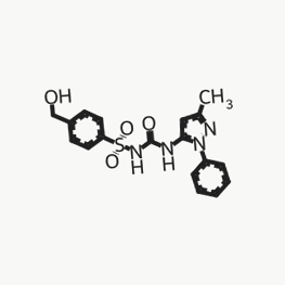 Cc1cc(NC(=O)NS(=O)(=O)c2ccc(CO)cc2)n(-c2ccccc2)n1